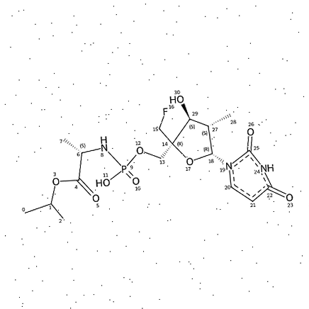 CC(C)OC(=O)[C@H](C)NP(=O)(O)OC[C@@]1(CF)O[C@@H](n2ccc(=O)[nH]c2=O)[C@@H](C)[C@@H]1O